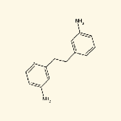 Nc1cc[c]c(CCc2[c]ccc(N)c2)c1